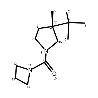 CC(C)(C)[C@@]1(C)CCN(C(=O)N2CCC2)C1